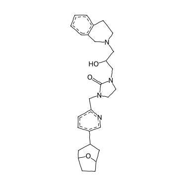 O=C1N(Cc2ccc(C3CC4CCC(C3)O4)cn2)CCN1CC(O)CN1CCc2ccccc2C1